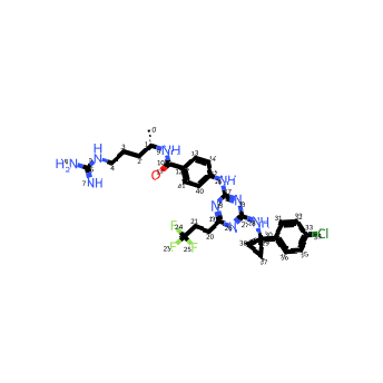 C[C@@H](CCCNC(=N)N)NC(=O)c1ccc(Nc2nc(CCC(F)(F)F)nc(NC3(c4ccc(Cl)cc4)CC3)n2)cc1